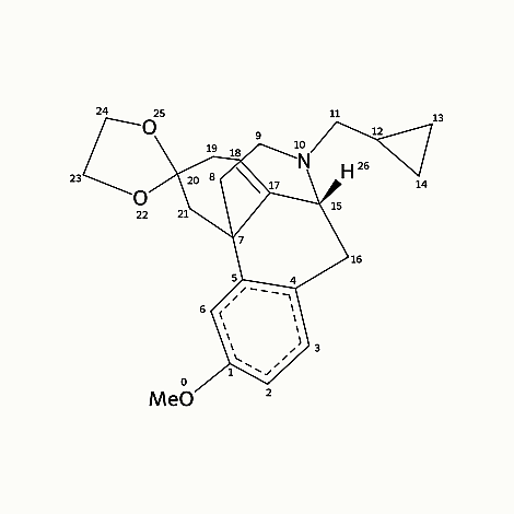 COc1ccc2c(c1)C13CCN(CC4CC4)[C@H](C2)C1=CCC1(C3)OCCO1